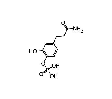 NC(=O)CCc1ccc(OP(=O)(O)O)c(O)c1